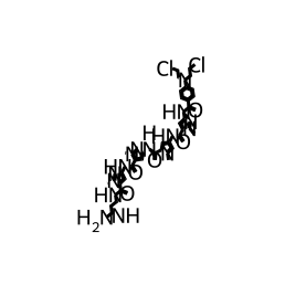 Cn1cc(NC(=O)c2cc(NC(=O)c3ccc(N(CCCl)CCCl)cc3)nn2C)cc1C(=O)Nc1cc(C(=O)Nc2cc(C(=O)NCCC(=N)N)n(C)n2)n(C)n1